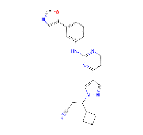 N#CCC(C1CCC1)n1cc(-c2ccnc(Nc3cccc(-c4cnco4)c3)n2)cn1